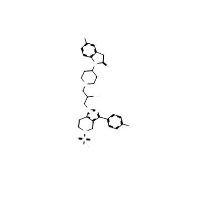 CS(=O)(=O)N1CCc2c(c(-c3ccc(Br)cc3)nn2CC(O)CN2CCC(N3C(=O)Cc4cc(Cl)ccc43)CC2)C1